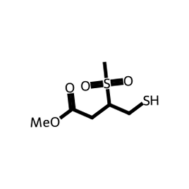 COC(=O)CC(CS)S(C)(=O)=O